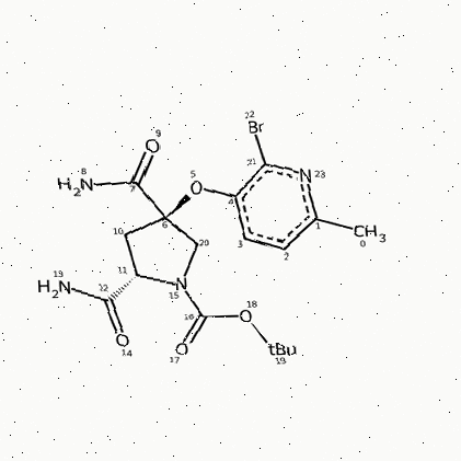 Cc1ccc(O[C@]2(C(N)=O)C[C@@H](C(N)=O)N(C(=O)OC(C)(C)C)C2)c(Br)n1